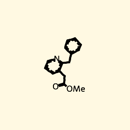 COC(=O)Cc1cccnc1Cc1ccccc1